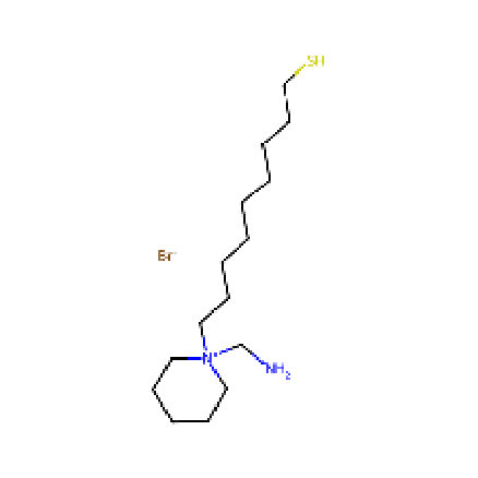 NC[N+]1(CCCCCCCCCS)CCCCC1.[Br-]